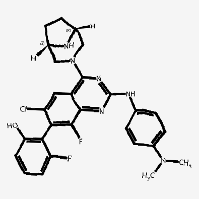 CN(C)c1ccc(Nc2nc(N3C[C@H]4CC[C@@H](C3)N4)c3cc(Cl)c(-c4c(O)cccc4F)c(F)c3n2)cc1